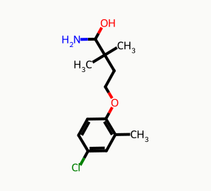 Cc1cc(Cl)ccc1OCCC(C)(C)C(N)O